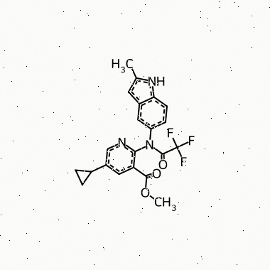 COC(=O)c1cc(C2CC2)cnc1N(C(=O)C(F)(F)F)c1ccc2[nH]c(C)cc2c1